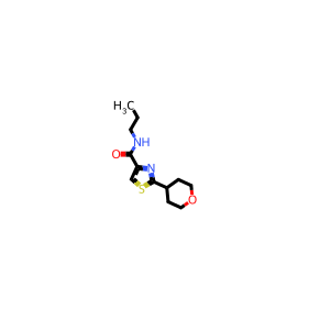 CCCNC(=O)c1csc(C2CCOCC2)n1